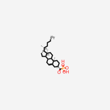 CC(C)CCC[C@@H](C)[C@H]1CCC2C3CC=C4C[C@@H](C(=O)P(=O)(O)O)CC[C@]4(C)C3CC[C@@]21C